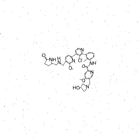 COc1cc(C(=O)Nc2cccc(-c3nccc(-c4ccc(CNCC5CCC(=O)N5)c(OC)n4)c3Cl)c2C)ncc1CN1CCC(O)C1